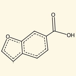 O=C(O)c1ccc2[c]coc2c1